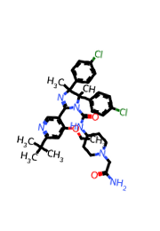 CCOc1cc(C(C)(C)C)ncc1C1=NC(C)(c2ccc(Cl)cc2)C(C)(c2ccc(Cl)cc2)N1C(=O)NC1CCN(CC(N)=O)CC1